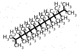 CC(C)C(C)(C)C(C)(C)C(C)(C)C(C)(C)C(C)(C)C(C)(C)C(C)(C)C(C)(C)C(C)(C)C(C)C